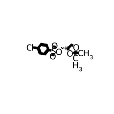 CC1(C)OC[C@@H](COS(=O)(=O)c2ccc(Cl)cc2)O1